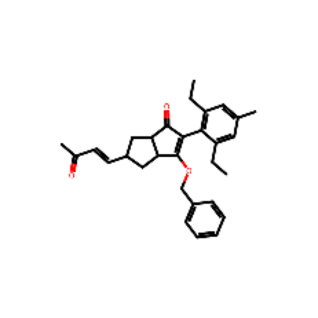 CCc1cc(C)cc(CC)c1C1=C(OCc2ccccc2)C2CC(C=CC(C)=O)CC2C1=O